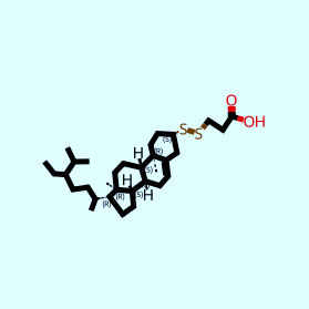 CCC(CCC(C)[C@H]1CC[C@H]2[C@@H]3CC=C4C[C@@H](SSCCC(=O)O)CC[C@]4(C)[C@H]3CC[C@]12C)C(C)C